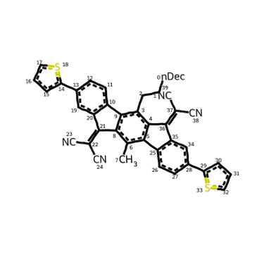 CCCCCCCCCCCCc1c2c(c(C)c3c1-c1ccc(-c4cccs4)cc1C3=C(C#N)C#N)-c1ccc(-c3cccs3)cc1C2=C(C#N)C#N